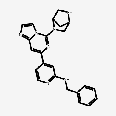 c1ccc(CNc2cc(-c3cc4nccn4c(N4CC5CC4CN5)n3)ccn2)cc1